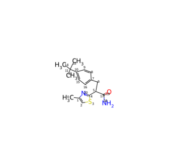 Cc1csc(C(Cc2ccc(C(C)(C)C)cc2)C(N)=O)n1